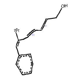 CCCC(=Cc1ccccc1)/C=C/C=C/CO